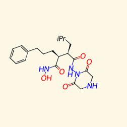 CC(C)C[C@@H](C(=O)NN1C(=O)CNCC1=O)[C@H](CCCc1ccccc1)C(=O)NO